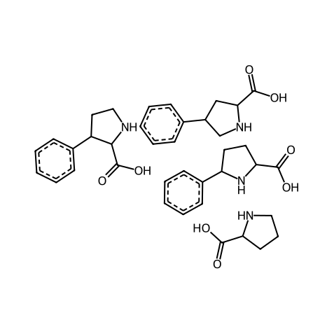 O=C(O)C1CC(c2ccccc2)CN1.O=C(O)C1CCC(c2ccccc2)N1.O=C(O)C1CCCN1.O=C(O)C1NCCC1c1ccccc1